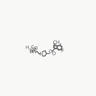 Cn1cc(C(=O)OCC2CCN(CCNS(C)(=O)=O)CC2)c2cc(F)ccc21